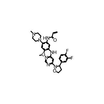 C=CC(=O)Nc1cc(Nc2cc(N3OCCC3c3ccc(F)c(F)c3)ncn2)c(OC)cc1N1CCN(C)CC1